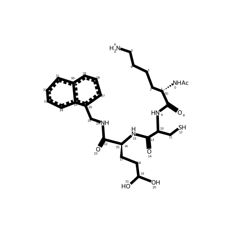 CC(=O)N[C@@H](CCCCN)C(=O)NC(CS)C(=O)N[C@@H](CCC(O)O)C(=O)NCc1cccc2ccccc12